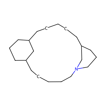 C1CCC2CCCC(CCCCCN3CCCC(CC1)C3)C2